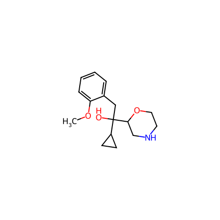 COc1ccccc1CC(O)(C1CC1)C1CNCCO1